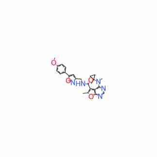 COc1ccc(-c2cc(CNC(=O)c3c(C)oc4ncnc(N(C)C5(C)CC5)c34)no2)cc1